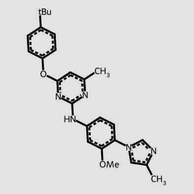 COc1cc(Nc2nc(C)cc(Oc3ccc(C(C)(C)C)cc3)n2)ccc1-n1cnc(C)c1